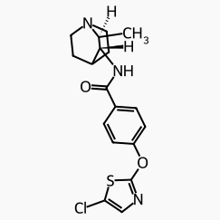 C[C@H]1[C@H](NC(=O)c2ccc(Oc3ncc(Cl)s3)cc2)C2CCN1CC2